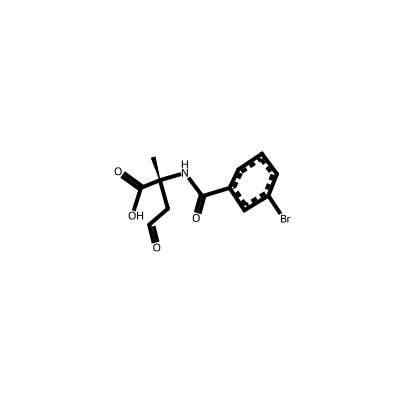 C[C@](CC=O)(NC(=O)c1cccc(Br)c1)C(=O)O